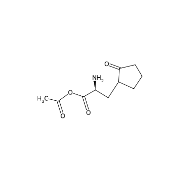 CC(=O)OC(=O)[C@@H](N)CC1CCCC1=O